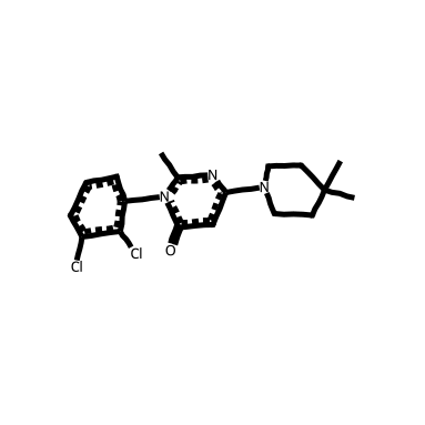 Cc1nc(N2CCC(C)(C)CC2)cc(=O)n1-c1cccc(Cl)c1Cl